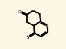 O=C1CCC2=CC=CC(=S)C2C1